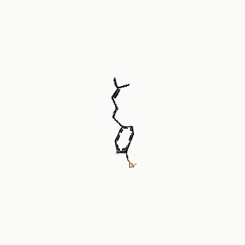 CC(C)=CCCc1ccc(Br)cc1